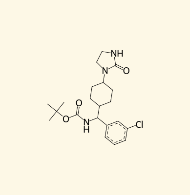 CC(C)(C)OC(=O)NC(c1cccc(Cl)c1)C1CCC(N2CCNC2=O)CC1